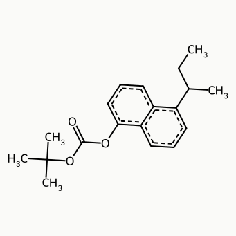 CCC(C)c1cccc2c(OC(=O)OC(C)(C)C)cccc12